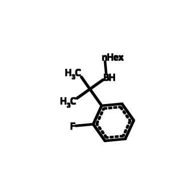 CCCCCCBC(C)(C)c1ccccc1F